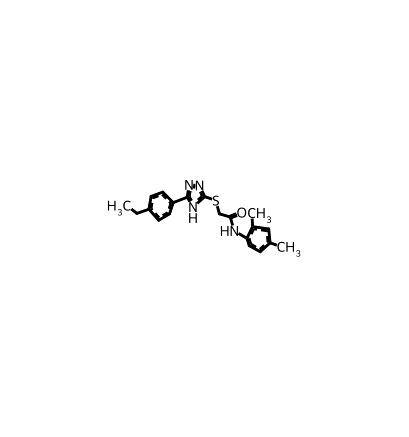 CCc1ccc(-c2nnc(SCC(=O)Nc3ccc(C)cc3C)[nH]2)cc1